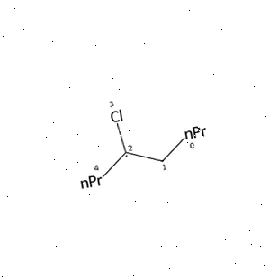 CCCC[C](Cl)CCC